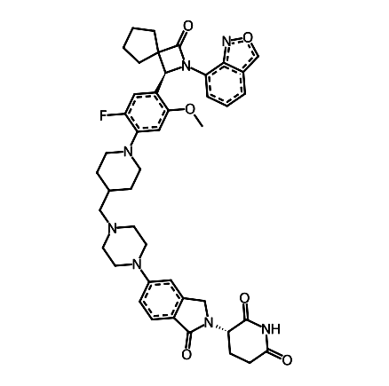 COc1cc(N2CCC(CN3CCN(c4ccc5c(c4)CN([C@H]4CCC(=O)NC4=O)C5=O)CC3)CC2)c(F)cc1[C@@H]1N(c2cccc3conc23)C(=O)C12CCCC2